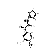 Cc1cc(C(O)C(=O)Nc2cscn2)ccc1C(=O)O